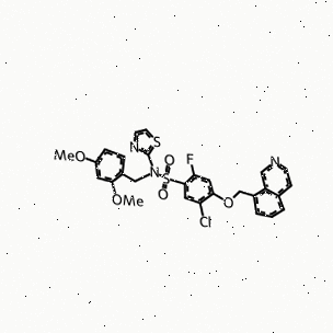 COc1ccc(CN(c2nccs2)S(=O)(=O)c2cc(Cl)c(OCc3cccc4ccncc34)cc2F)c(OC)c1